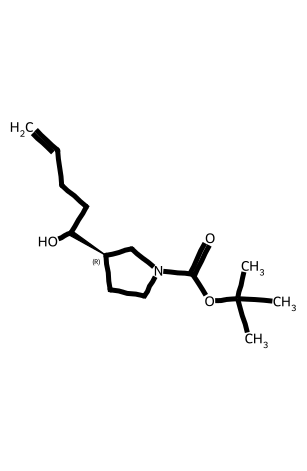 C=CCCC(O)[C@@H]1CCN(C(=O)OC(C)(C)C)C1